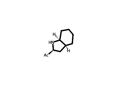 CC(=O)[C@@H]1C[C@@H]2CCCC[C@@H]2N1